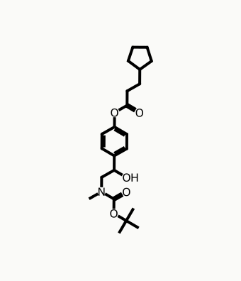 CN(CC(O)c1ccc(OC(=O)CCC2CCCC2)cc1)C(=O)OC(C)(C)C